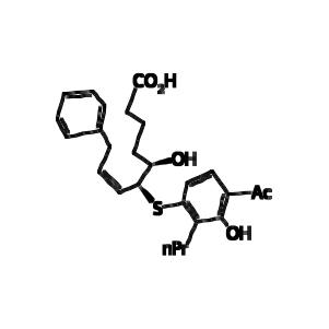 CCCc1c(S[C@@H](/C=C\Cc2ccccc2)[C@H](O)CCCC(=O)O)ccc(C(C)=O)c1O